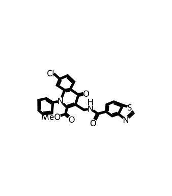 COC(=O)c1c(CNC(=O)c2ccc3scnc3c2)c(=O)c2ccc(Cl)cc2n1-c1ccccc1